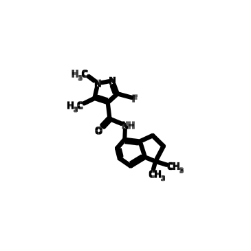 Cc1c(C(=O)Nc2cccc3c2CCC3(C)C)c(F)nn1C